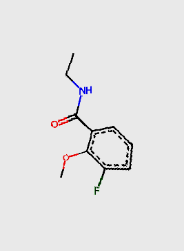 CCNC(=O)c1cccc(F)c1OC